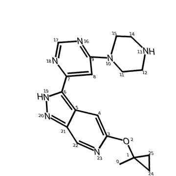 CC1(Oc2cc3c(-c4cc(N5CCNCC5)ncn4)[nH]nc3cn2)CC1